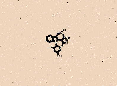 Cc1nn(C)c(C)c1-c1c(/C=N/O)c2ccccc2n1-c1ccc(O)cc1F